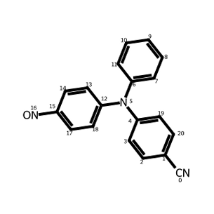 N#Cc1ccc(N(c2ccccc2)c2ccc(N=O)cc2)cc1